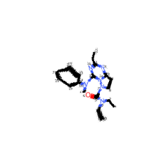 CCN(CC)C(=O)N1C=CC2=NC(C)=NC(N(C)c3ccccc3)N21